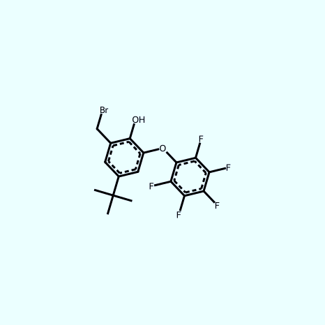 CC(C)(C)c1cc(CBr)c(O)c(Oc2c(F)c(F)c(F)c(F)c2F)c1